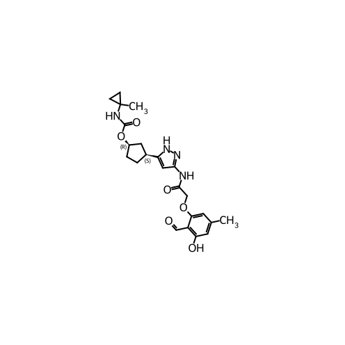 Cc1cc(O)c(C=O)c(OCC(=O)Nc2cc([C@H]3CC[C@@H](OC(=O)NC4(C)CC4)C3)[nH]n2)c1